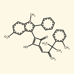 C=C(/C=C1\C(=O)C(c2c(-c3ccccc3)n(C)c3ccc([N+](=O)[O-])cc23)=C1O)C(C)(C)c1ccccc1C